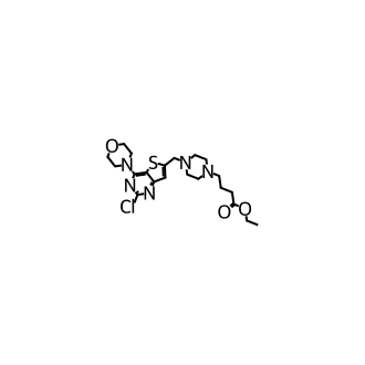 CCOC(=O)CCCN1CCN(Cc2cc3nc(Cl)nc(N4CCOCC4)c3s2)CC1